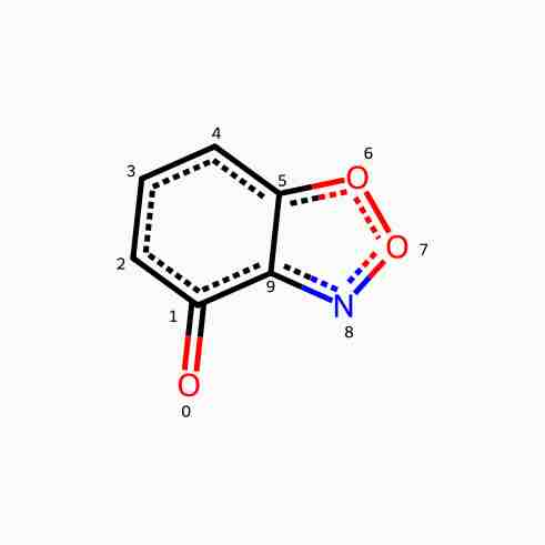 O=c1cccc2oonc1-2